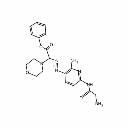 NCC(=O)Nc1ccc(/N=N/C(C(=O)Oc2ccccc2)N2CCOCC2)c(N)n1